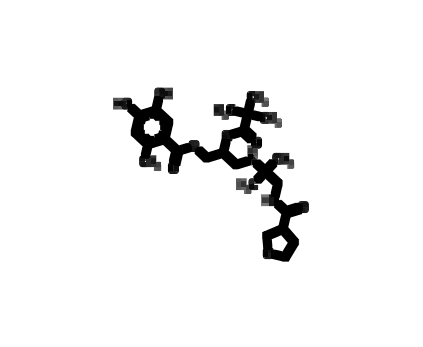 Cc1cc(O)c(O)cc1C(=O)OCC(CNC(C)(C)CNC(=O)C1CCOC1)OC(=O)C(C)(C)C